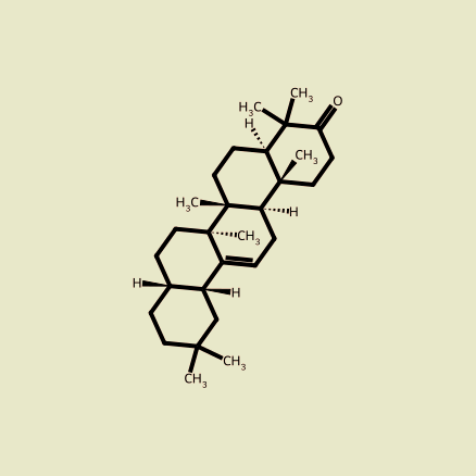 CC1(C)CC[C@@H]2CC[C@]3(C)C(=CC[C@@H]4[C@@]5(C)CCC(=O)C(C)(C)[C@@H]5CC[C@]43C)[C@@H]2C1